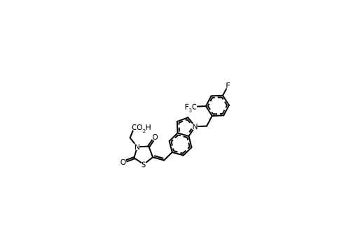 O=C(O)CN1C(=O)SC(=Cc2ccc3c(ccn3Cc3ccc(F)cc3C(F)(F)F)c2)C1=O